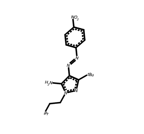 CC(C)CCn1nc(C(C)(C)C)c(N=Nc2ccc([N+](=O)[O-])cc2)c1N